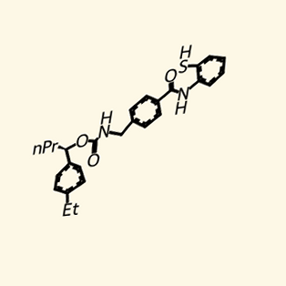 CCC[C@@H](OC(=O)NCc1ccc(C(=O)Nc2ccccc2S)cc1)c1ccc(CC)cc1